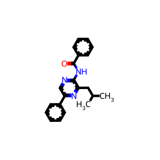 CC(C)Cc1nc(-c2ccccc2)cnc1NC(=O)c1ccccc1